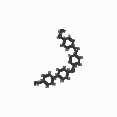 CC(C)Oc1ccc(Oc2ccc(Oc3ccc(-c4ccc(C(C)C)cc4)cc3)cc2)cc1